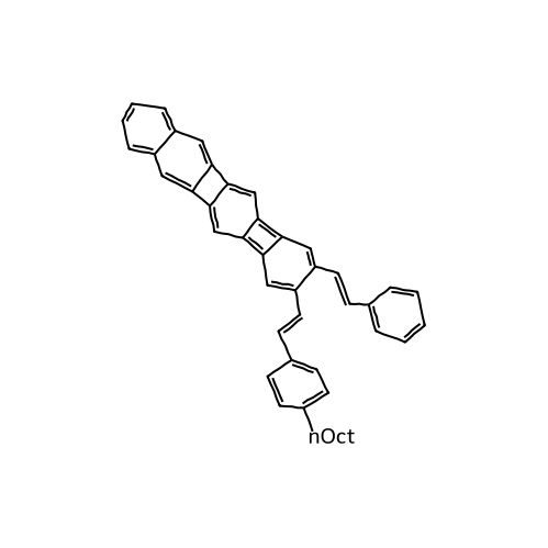 CCCCCCCCc1ccc(/C=C/c2cc3c(cc2/C=C/c2ccccc2)c2cc4c5cc6ccccc6cc5c4cc32)cc1